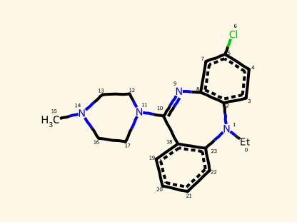 CCN1c2ccc(Cl)cc2N=C(N2CCN(C)CC2)c2ccccc21